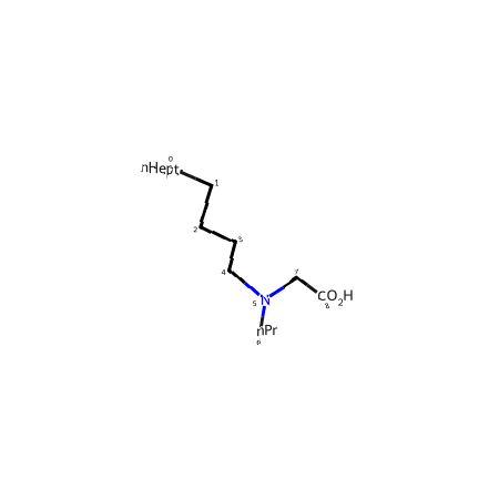 CCCCCCCCCCCN(CCC)CC(=O)O